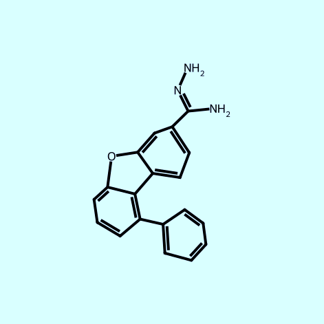 N/N=C(\N)c1ccc2c(c1)oc1cccc(-c3ccccc3)c12